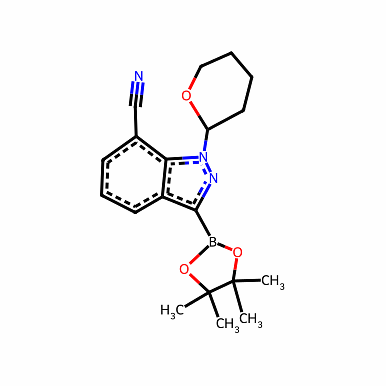 CC1(C)OB(c2nn(C3CCCCO3)c3c(C#N)cccc23)OC1(C)C